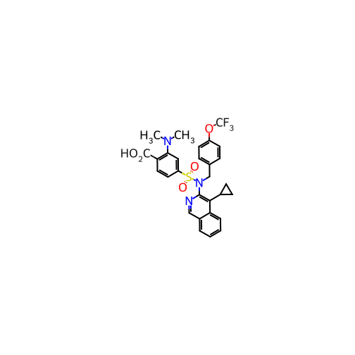 CN(C)c1cc(S(=O)(=O)N(Cc2ccc(OC(F)(F)F)cc2)c2ncc3ccccc3c2C2CC2)ccc1C(=O)O